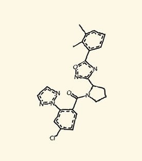 Cc1cccc(-c2nc(C3CCCN3C(=O)c3ccc(Cl)cc3-n3nccn3)no2)c1C